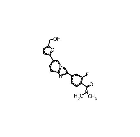 CN(C)C(=O)c1ccc(-c2cn3cc(-c4ccc(CO)o4)ccc3n2)cc1F